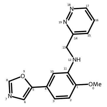 COc1ccc(-c2cnco2)cc1NCc1cccnn1